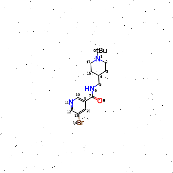 CC(C)(C)N1CCC(CNC(=O)c2cncc(Br)c2)CC1